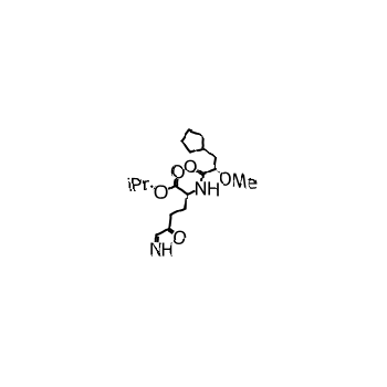 CO[C@@H](CC1CCCC1)C(=O)N[C@@H](CCC(=O)C=N)C(=O)OC(C)C